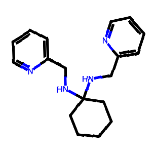 c1ccc(CNC2(NCc3ccccn3)CCCCC2)nc1